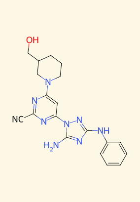 N#Cc1nc(N2CCCC(CO)C2)cc(-n2nc(Nc3ccccc3)nc2N)n1